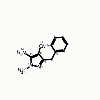 Cn1nc(Cc2ccccc2)c(C#N)c1N